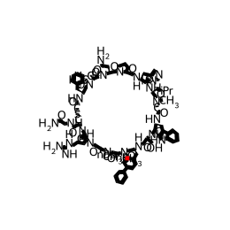 CCCC[C@H]1C(=O)N(C)[C@@H](CCCC)C(=O)NC(CCCNC(=N)N)C(=O)NC(C(=O)NCC(N)=O)CSCC(=O)N[C@@H](Cc2ccccc2)C(=O)N(C)[C@@H](C)C(=O)N[C@@H](CC(N)=O)C(=O)N2CCCC2C(=O)N[C@@H](Cc2cnc[nH]2)C(=O)N[C@@H](CC(C)C)C(=O)N(C)CC(=O)N[C@@H](Cc2c[nH]c3ccccc23)C(=O)NC(CO)C(=O)N[C@@H](Cc2ccc(-c3ccccc3)cc2)C(=O)N1C